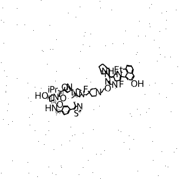 CCc1cccc2cc(O)cc(-c3ncc4c(N5CC6CCC(C5)N6)nc(OCCN5CCC(F)(CN6CCN(c7cc([C@@H](C(=O)N8C[C@H](O)C[C@H]8C(=O)N[C@@H](C)c8ccc(-c9scnc9C)cc8)C(C)C)on7)[C@H](C)C6)CC5)nc4c3F)c12